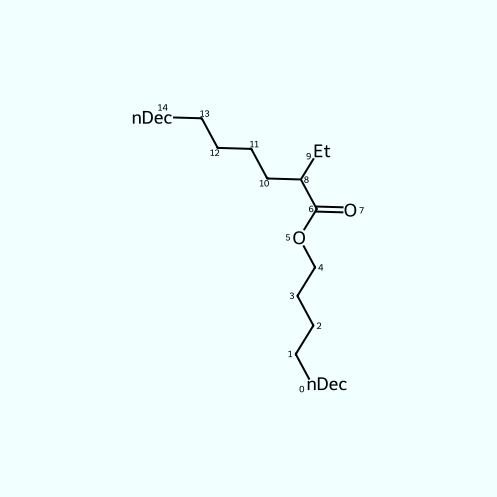 CCCCCCCCCCCCCCOC(=O)C(CC)CCCCCCCCCCCCCC